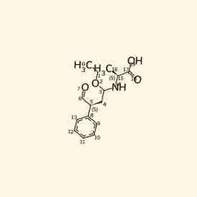 CCOC(C[C@H](C=O)c1ccccc1)N[C@@H](C)C(=O)O